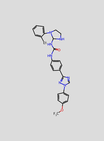 CCc1ccccc1N1CCNC1NC(=O)Nc1ccc(-c2ncn(-c3ccc(OC(F)(F)F)cc3)n2)cc1